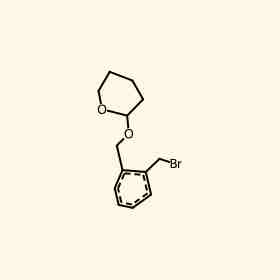 BrCc1ccccc1COC1CCCCO1